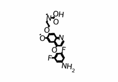 COc1cc2c(Oc3c(F)cc(N)cc3F)ccnc2cc1OCCN(C)C(=O)O